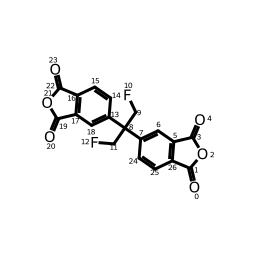 O=C1OC(=O)c2cc(C(CF)(CF)c3ccc4c(c3)C(=O)OC4=O)ccc21